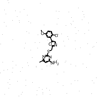 COc1ccc(Cl)c(-c2cnc(CSc3nc(C)cc(N)n3)o2)c1